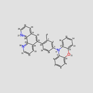 Cc1cc(N2c3ccccc3Oc3ccccc32)ccc1-c1cc2cccnc2c2ncccc12